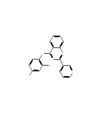 Cl.O=[N+]([O-])c1ccc(Nc2nc(-c3cccnc3)nc3ccccc23)c(I)c1